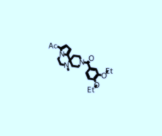 CCOc1ccc(C(=O)N2CCC3(CC2)c2ccc(C(C)=O)n2CCN3C)cc1OCC